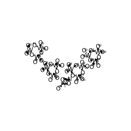 O=P12[O][Al]([O]1)[O]2.[O]=[W]1(=[O])[O][W](=[O])(=[O])[O][W](=[O])(=[O])[O]1.[O]=[W]1(=[O])[O][W](=[O])(=[O])[O][W](=[O])(=[O])[O]1.[O]=[W]1(=[O])[O][W](=[O])(=[O])[O][W](=[O])(=[O])[O]1.[O]=[W]1(=[O])[O][W](=[O])(=[O])[O][W](=[O])(=[O])[O]1